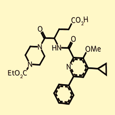 CCOC(=O)N1CCN(C(=O)C(CCC(=O)O)NC(=O)c2nc(-c3ccccc3)cc(C3CC3)c2OC)CC1